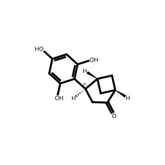 O=C1C[C@@H](c2c(O)cc(O)cc2O)[C@H]2C[C@@H]1C2